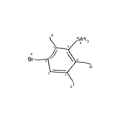 Cc1cc(Br)c(C)c([SiH3])c1C